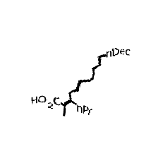 CCCCCCCCCCCCCCCCC/C(CCC)=C(/C)C(=O)O